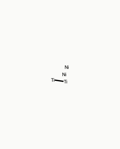 [Ni].[Ni].[Ti][Ti]